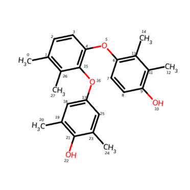 Cc1ccc(Oc2ccc(O)c(C)c2C)c(Oc2cc(C)c(O)c(C)c2)c1C